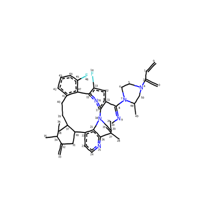 C=CC(=C)N1CCN(/C(=N/C)c2cc(F)c3nc2N(C=C)c2c(ccnc2C(C)C)C(CC(=C)C(C)C)C(C)CCc2cccc(F)c2-3)C(C)C1